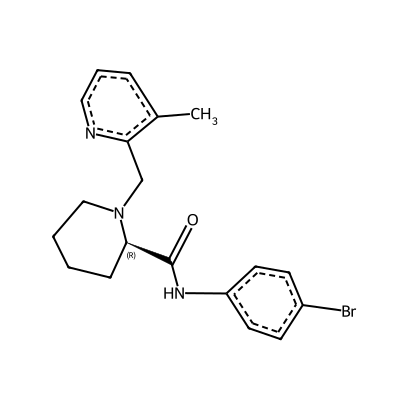 Cc1cccnc1CN1CCCC[C@@H]1C(=O)Nc1ccc(Br)cc1